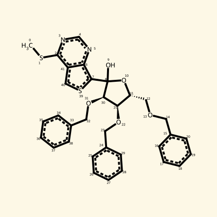 CSc1ncnc2c(C3(O)O[C@H](COCc4ccccc4)[C@@H](OCc4ccccc4)[C@H]3OCc3ccccc3)scc12